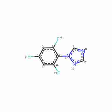 Fc1cc(F)c(-n2cncn2)c(F)c1